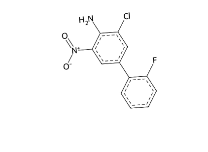 Nc1c(Cl)cc(-c2ccccc2F)cc1[N+](=O)[O-]